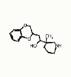 CC1(C(O)CC2COc3ccccc3O2)CCCNC1